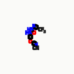 N#Cc1cc(Oc2ccc(NC(=O)Nc3cc(C(F)(F)F)ccn3)cc2)ccn1